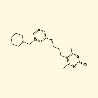 Cc1cc(=O)nc(C)n1CCCOc1cccc(CN2CCCCC2)c1